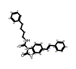 O=C(NCCCCc1ccccc1)n1c(=O)oc2cc(/C=C/c3ccccc3)ccc21